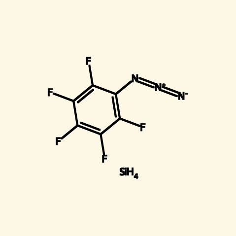 [N-]=[N+]=Nc1c(F)c(F)c(F)c(F)c1F.[SiH4]